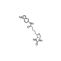 O=C(CCCCC1SCC2NC(=O)NC21)Nc1ccc2[nH]ccc2c1